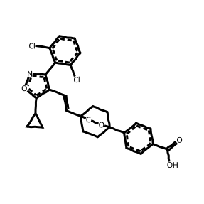 O=C(O)c1ccc(C23CCC(C=Cc4c(-c5c(Cl)cccc5Cl)noc4C4CC4)(CC2)CO3)cc1